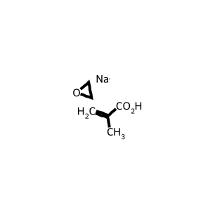 C1CO1.C=C(C)C(=O)O.[Na]